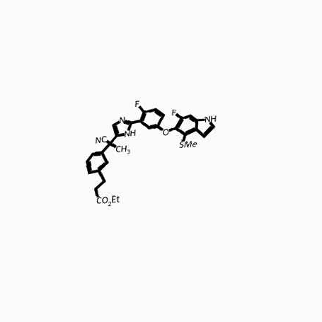 CCOC(=O)CCc1cccc(C(C)(C#N)c2cnc(-c3cc(Oc4c(F)cc5[nH]ccc5c4SC)ccc3F)[nH]2)c1